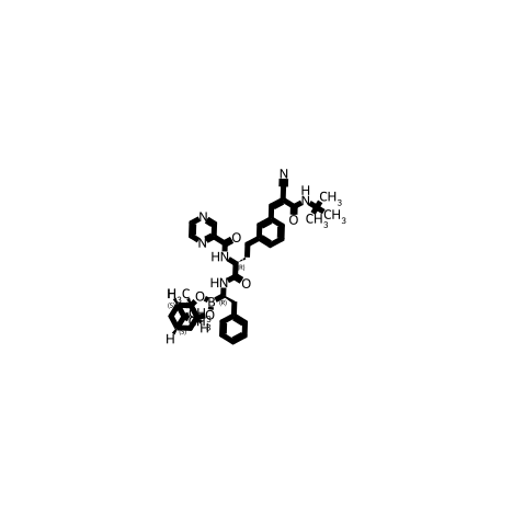 CC(C)(C)NC(=O)C(C#N)=Cc1cccc(CC[C@@H](NC(=O)c2cnccn2)C(=O)N[C@@H](Cc2ccccc2)B2O[C@@H]3C[C@@H]4C[C@@H](C4(C)C)[C@]3(C)O2)c1